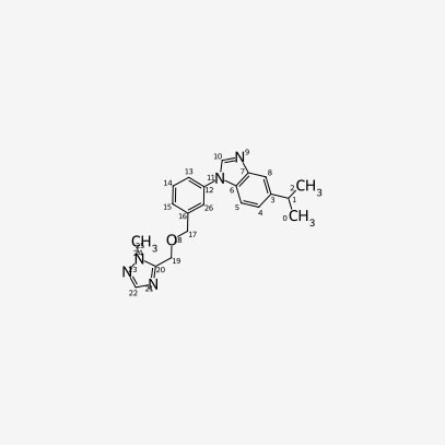 CC(C)c1ccc2c(c1)ncn2-c1cccc(COCc2ncnn2C)c1